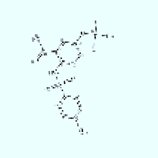 Cc1ccc(S(=O)(=O)Nc2ccc(OC(F)(F)F)cc2C(=O)O)cc1